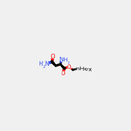 CCCCCCCOC(=O)C(N)CC(N)=O